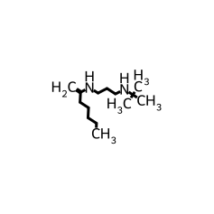 C=C(CCCCC)NCCCNC(C)(C)C